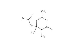 CC1CN(F)C(C)C(C)(OC(F)F)C1